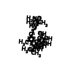 Cc1cc(OCCCNCC(C)(C)C(N)=O)ccc1CC1=C(C(C)C)NNC1O[C@@H]1O[C@H](CO)[C@@H](O)[C@H](O)[C@H]1O